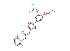 CCCOc1ccc(-c2nc(CC(=O)Cc3ncccc3C)co2)cc1OC(F)F